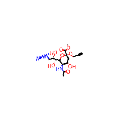 C#CCO[C@]1(C(=O)OC)C[C@@H](O)[C@@H](NC(C)=O)C([C@H](O)[C@H](O)CN=[N+]=[N-])O1